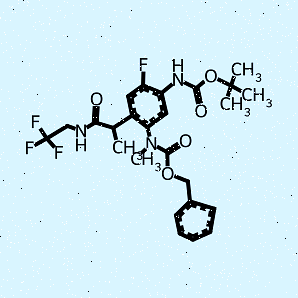 CC(C(=O)NCC(F)(F)F)c1cc(F)c(NC(=O)OC(C)(C)C)cc1N(C)C(=O)OCc1ccccc1